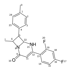 Cc1ccc(C2C(C)N3C(=O)C=C(c4ccc(F)cc4F)NC23)cc1